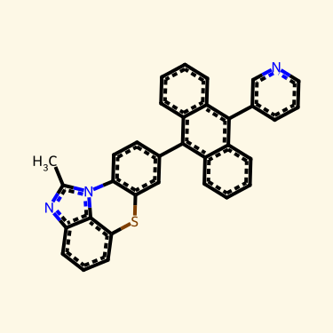 Cc1nc2cccc3c2n1-c1ccc(-c2c4ccccc4c(-c4cccnc4)c4ccccc24)cc1S3